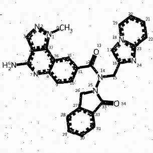 Cn1ncc2c(N)nc3ccc(C(=O)N(Cc4cn5ccccc5n4)N4Cc5ccccc5C4=O)cc3c21